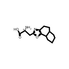 N[C@H](Cc1nc2c(o1)C1CCCCC1CC2)C(=O)O